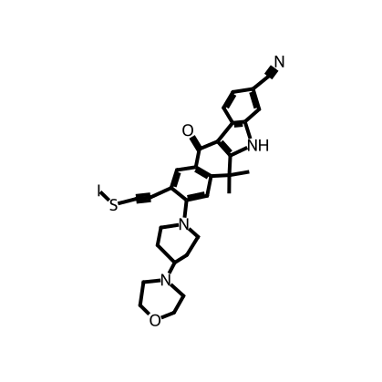 CC1(C)c2cc(N3CCC(N4CCOCC4)CC3)c(C#CSI)cc2C(=O)c2c1[nH]c1cc(C#N)ccc21